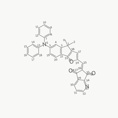 CC1(C)c2cc(N(c3ccccc3)c3ccccc3)ccc2-c2oc(/C=C3\C(=O)c4cccnc4C3=O)cc21